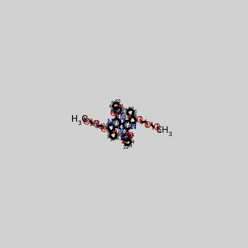 COCCOCCOc1ccc(-c2c3/c(=C(\C#N)c4nc5ccccc5o4)n(B(c4ccccc4)c4ccccc4)c(-c4ccc(OCCOCCOC)cc4)c3/c(=C(\C#N)c3nc4ccccc4o3)n2B(c2ccccc2)c2ccccc2)cc1